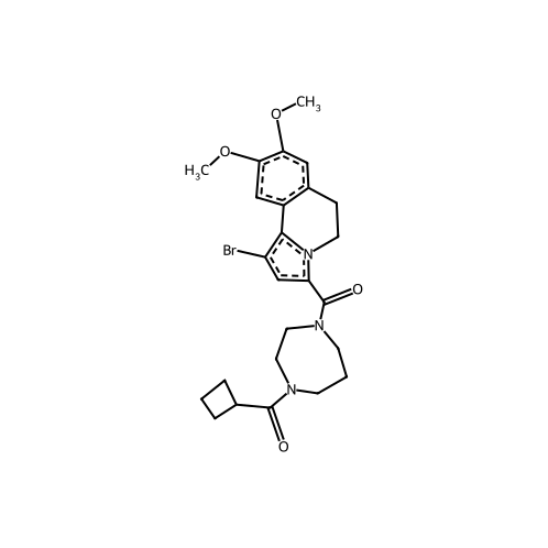 COc1cc2c(cc1OC)-c1c(Br)cc(C(=O)N3CCCN(C(=O)C4CCC4)CC3)n1CC2